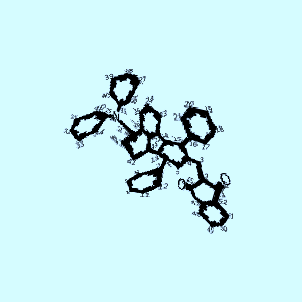 O=C1C(=Cc2cc(-c3ccccc3)c3c(c2-c2ccccc2)-c2cccc4c(N(c5ccccc5)c5ccccc5)ccc-3c24)C(=O)c2ccccc21